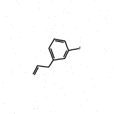 C=CCc1cccc(F)c1